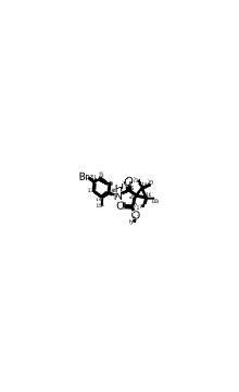 COC(=O)C1(C(=O)Nc2ccc(Br)cc2C)C(C)(C)C1(C)C